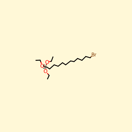 CCO[Si](CCCCCCCCCCCBr)(OCC)OCC